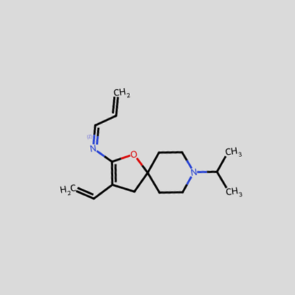 C=C/C=N\C1=C(C=C)CC2(CCN(C(C)C)CC2)O1